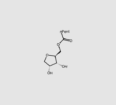 CCCCCC(=O)OC[C@@H]1OC[C@@H](O)[C@H]1O